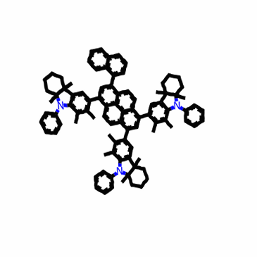 Cc1c(-c2cc(-c3cc4c(c(C)c3C)N(c3ccccc3)C3(C)CCCCC43C)c3ccc4c(-c5cccc6ccccc56)cc(-c5cc6c(c(C)c5C)N(c5ccccc5)C5(C)CCCCC65C)c5ccc2c3c54)cc2c(c1C)N(c1ccccc1)C1(C)CCCCC21C